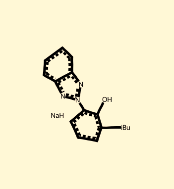 CCC(C)c1cccc(-n2nc3ccccc3n2)c1O.[NaH]